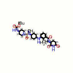 CN(C(=O)c1cccc(NC2CCC(N(C)[S+]([O-])N3CCC(NC(=O)OC(C)(C)C)CC3)CC2)c1C=O)C1CCC(=O)NC1=O